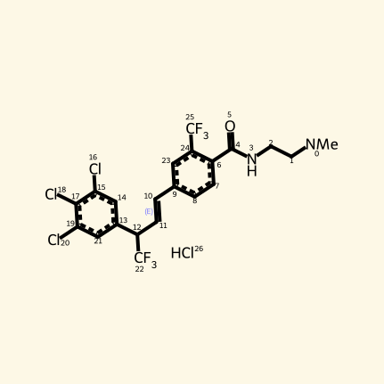 CNCCNC(=O)c1ccc(/C=C/C(c2cc(Cl)c(Cl)c(Cl)c2)C(F)(F)F)cc1C(F)(F)F.Cl